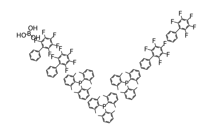 Cc1cccc(C)c1P(c1c(C)cccc1C)c1c(C)cccc1C.Cc1cccc(C)c1P(c1c(C)cccc1C)c1c(C)cccc1C.Cc1cccc(C)c1P(c1c(C)cccc1C)c1c(C)cccc1C.Fc1c(F)c(F)c(-c2ccccc2)c(F)c1F.Fc1c(F)c(F)c(-c2ccccc2)c(F)c1F.Fc1c(F)c(F)c(-c2ccccc2)c(F)c1F.Fc1c(F)c(F)c(-c2ccccc2)c(F)c1F.OB(O)O